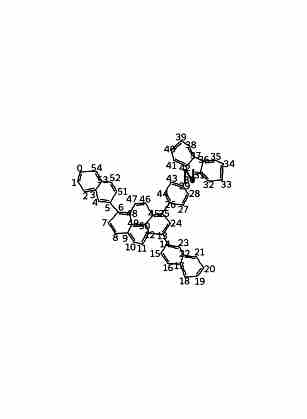 c1ccc2cc(-c3ccc4ccc5c(-c6ccc7ccccc7c6)cc(-c6ccc(-n7c8ccccc8c8ccccc87)cc6)c6ccc3c4c65)ccc2c1